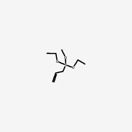 C=CC[Si](OC)(OCC)OCC